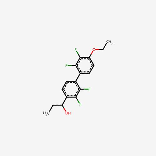 CCOc1ccc(-c2ccc(C(O)CC)c(F)c2F)c(F)c1F